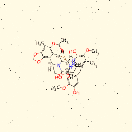 COc1cc2c(cc1O)CCN[C@]21CS[C@@H]2c3c(OC(C)=O)c(C)c4c(c3[C@H](COC1=O)N1C(O)[C@H]3Cc5cc(C)c(OC)c(O)c5[C@@H](C21)N3C)OCO4